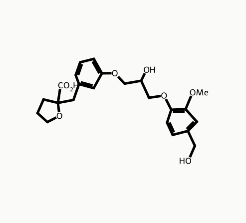 COc1cc(CO)ccc1OCC(O)COc1cccc(CC2(C(=O)O)CCCO2)c1